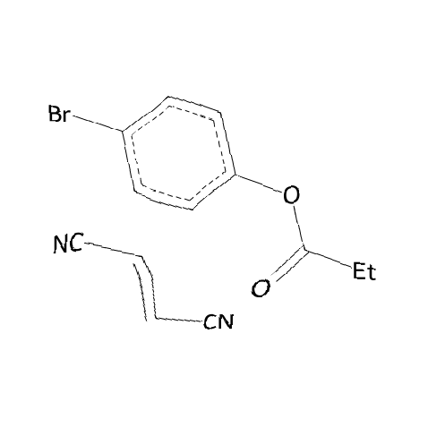 CCC(=O)Oc1ccc(Br)cc1.N#CC=CC#N